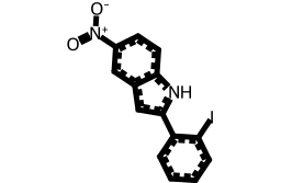 O=[N+]([O-])c1ccc2[nH]c(-c3ccccc3I)cc2c1